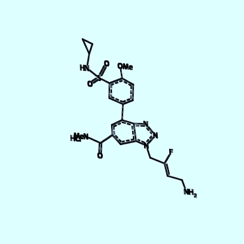 CNC(=O)c1cc(-c2ccc(OC)c(S(=O)(=O)NC3CC3)c2)c2nnn(C/C(F)=C/CN)c2c1.Cl